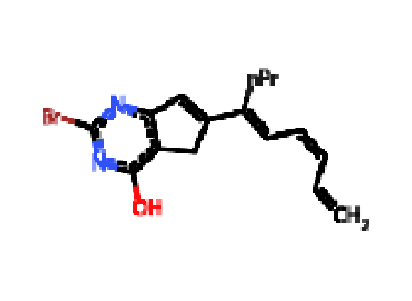 C=C/C=C\C=C(/CCC)C1=Cc2nc(Br)nc(O)c2C1